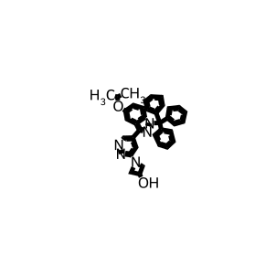 CC(C)Oc1ccc2c(c1)c(-c1cnnc(N3CC(O)C3)c1)nn2C(c1ccccc1)(c1ccccc1)c1ccccc1